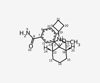 COC1(c2cccc(C(N)=O)c2)[C@@H]2CCC[C@H]1CN(C1CCC1)C2